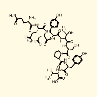 C[C@@H](O)[C@H](NC(=O)[C@H](Cc1ccc(O)cc1)NC(=O)[C@@H]1CCCN1C(=O)[C@H](CO)NC(=O)[C@@H](NC(=O)[C@H](Cc1ccc(O)cc1)NC(=O)[C@H](CC(=O)O)NC(=O)[C@H](CCC(N)=O)NC(=O)[C@@H](N)CCC(N)=O)[C@@H](C)O)C(=O)O